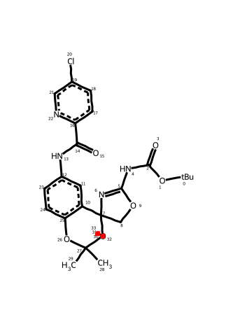 CC(C)(C)OC(=O)NC1=NC2(CO1)c1cc(NC(=O)c3ccc(Cl)cn3)ccc1OC(C)(C)C21COC1